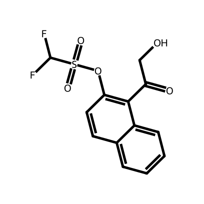 O=C(CO)c1c(OS(=O)(=O)C(F)F)ccc2ccccc12